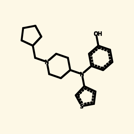 Oc1cccc(N(c2ccsc2)C2CCN(CC3CCCC3)CC2)c1